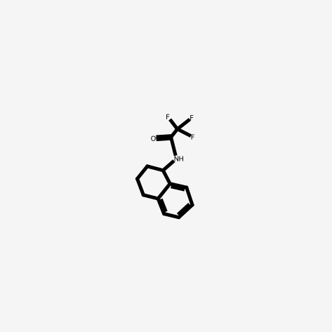 O=C(NC1CCCc2ccccc21)C(F)(F)F